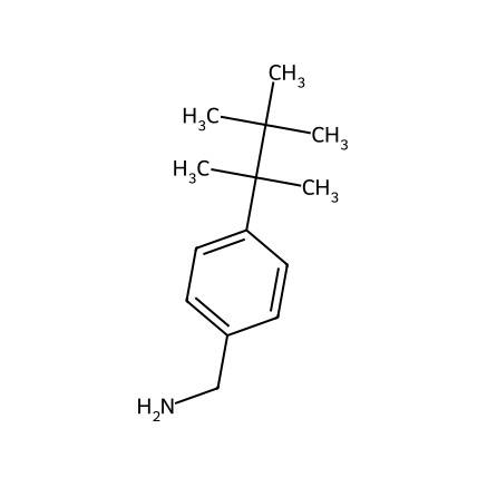 CC(C)(C)C(C)(C)c1ccc(CN)cc1